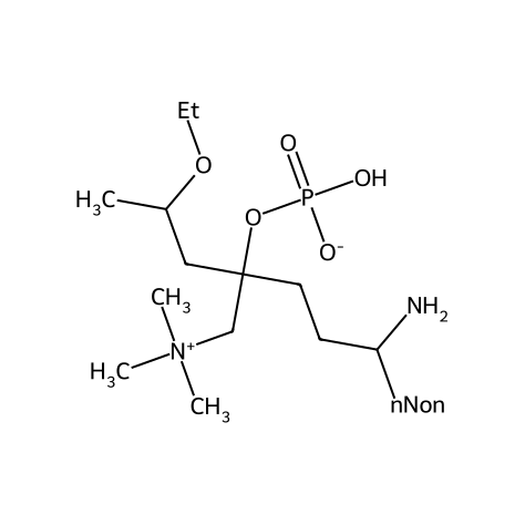 CCCCCCCCCC(N)CCC(CC(C)OCC)(C[N+](C)(C)C)OP(=O)([O-])O